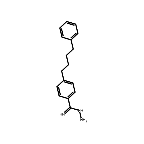 N=C(NN)c1ccc(CCCCc2ccccc2)cc1